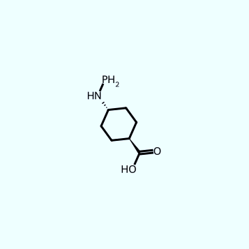 O=C(O)[C@H]1CC[C@H](NP)CC1